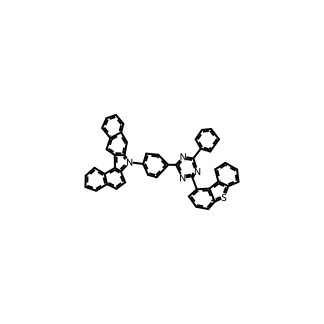 c1ccc(-c2nc(-c3ccc(-n4c5cc6ccccc6cc5c5c6ccccc6ccc54)cc3)nc(-c3cccc4sc5ccccc5c34)n2)cc1